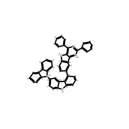 c1ccc(-c2nc(-c3ccccc3)c3oc4ccc(-c5cccc6oc7ccc(-n8c9ccccc9c9ccccc98)cc7c56)cc4c3n2)cc1